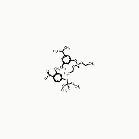 CCOP(=S)(OCC)Oc1cc(C)nc(C(C)C)n1.COP(=S)(OC)Oc1ccc([N+](=O)[O-])c(C)c1